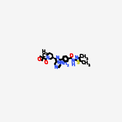 Cc1nc(NC(=O)c2ccc(C3=NC([C@@H]4CCCN(C(=O)C5(C)COC5)C4)=C4C=NC=C[N+]34N)cc2)sc1C